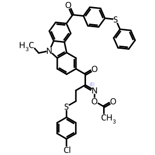 CCn1c2ccc(C(=O)/C(CCSc3ccc(Cl)cc3)=N/OC(C)=O)cc2c2cc(C(=O)c3ccc(Sc4ccccc4)cc3)ccc21